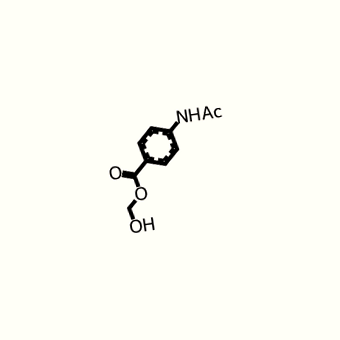 CC(=O)Nc1ccc(C(=O)OCO)cc1